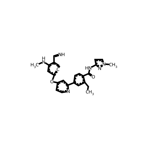 CCc1cc(-c2cc(Oc3ccc(C=N)c(NC)c3)ccn2)ccc1C(=O)Nc1ccn(C)n1